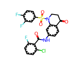 O=C1CCN(S(=O)(=O)c2ccc(F)c(F)c2)c2cc(NC(=O)c3c(F)cccc3Cl)ccc21